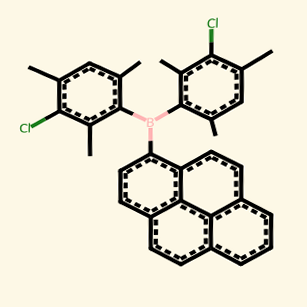 Cc1cc(C)c(B(c2c(C)cc(C)c(Cl)c2C)c2ccc3ccc4cccc5ccc2c3c45)c(C)c1Cl